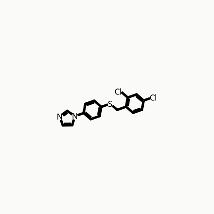 Clc1ccc(CSc2ccc(-n3ccnc3)cc2)c(Cl)c1